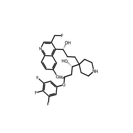 COc1ccc2ncc(CF)c([C@H](O)CCC3([C@@H](O)CCOc4cc(F)c(F)c(F)c4)CCNCC3)c2c1